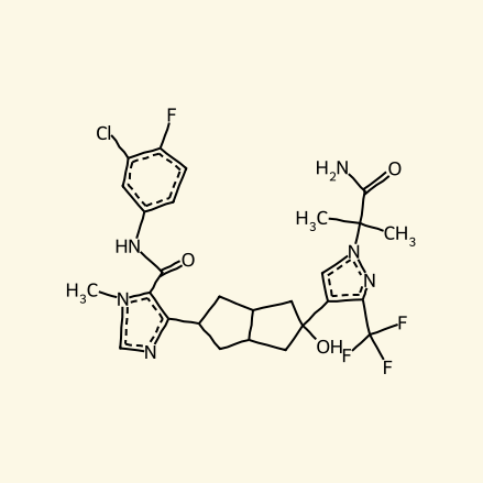 Cn1cnc(C2CC3CC(O)(c4cn(C(C)(C)C(N)=O)nc4C(F)(F)F)CC3C2)c1C(=O)Nc1ccc(F)c(Cl)c1